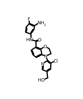 Nc1cc(NC(=O)c2cccc3c2OCCN3c2ncc(CO)cc2Cl)ccc1F